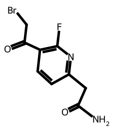 NC(=O)Cc1ccc(C(=O)CBr)c(F)n1